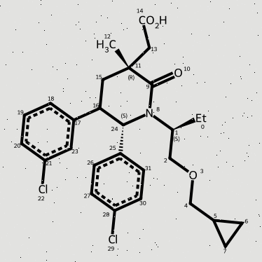 CC[C@@H](COCC1CC1)N1C(=O)[C@@](C)(CC(=O)O)CC(c2cccc(Cl)c2)[C@H]1c1ccc(Cl)cc1